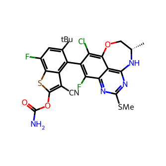 CSc1nc2c3c(c(Cl)c(-c4c(C(C)(C)C)cc(F)c5sc(OC(N)=O)c(C#N)c45)c(F)c3n1)OC[C@H](C)N2